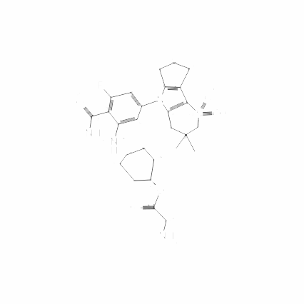 CC1(C)Cc2c(c3c(n2-c2cc(F)c(C(N)=O)c(N[C@H]4CC[C@H](OC(=O)CN)CC4)c2)CCC3)S(=O)(=O)C1